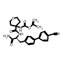 C=C(C)OC(=O)NC1(C(=O)N[C@@H](Cc2ccc(-c3ccc(C#N)cc3)cc2)C(N)=O)CCOCC1